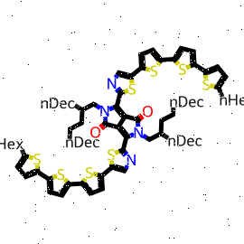 CCCCCCCCCCCCC(CCCCCCCCCC)CN1C(=O)C2=C(c3ncc(-c4ccc(-c5ccc(-c6ccc(CCCCCC)s6)s5)s4)s3)N(CC(CCCCCCCCCC)CCCCCCCCCCCC)C(=O)C2=C1c1ncc(-c2ccc(-c3ccc(-c4ccc(CCCCCC)s4)s3)s2)s1